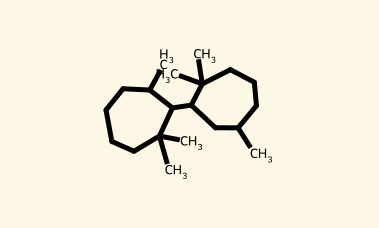 CC1CCCC(C)(C)C([C]2C(C)CCCCC2(C)C)C1